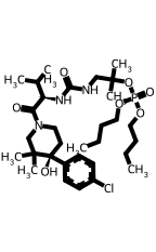 CCCCOP(=O)(OCCCC)OC(C)(C)CNC(=O)N[C@@H](C(=O)N1CC[C@](O)(c2ccc(Cl)cc2)C(C)(C)C1)C(C)C